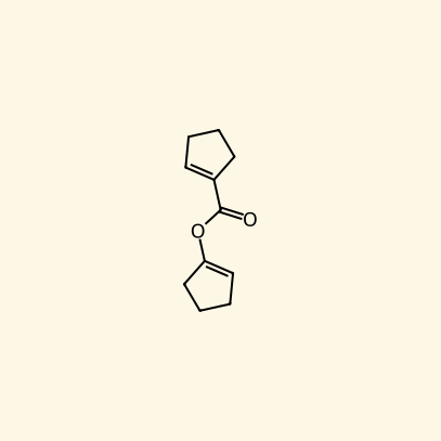 O=C(OC1=CCCC1)C1=CCCC1